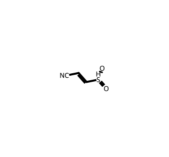 N#CC=C[SH](=O)=O